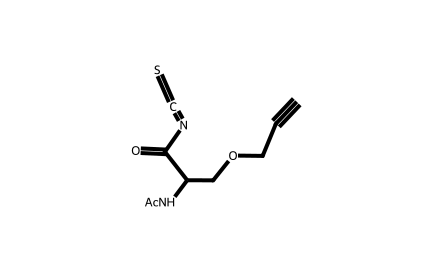 C#CCOCC(NC(C)=O)C(=O)N=C=S